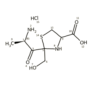 C[C@@H](N)C(=O)C1(CO)NC(C(=O)O)CS1.Cl